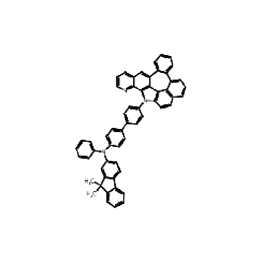 CC1(C)c2ccccc2-c2ccc(N(c3ccccc3)c3ccc(-c4ccc(-n5c6ccc7cccc8c7c6c6c(cc7cccnc7c65)-c5ccccc5-8)cc4)cc3)cc21